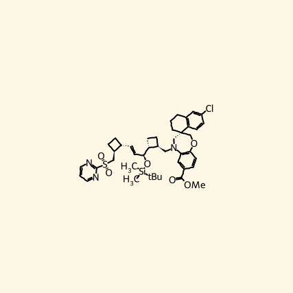 COC(=O)c1ccc2c(c1)N(C[C@@H]1CC[C@H]1[C@H](/C=C/[C@H]1CC[C@@H]1CS(=O)(=O)c1ncccn1)O[Si](C)(C)C(C)(C)C)C[C@@]1(CCCc3cc(Cl)ccc31)CO2